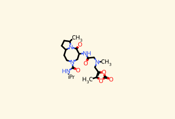 Cc1oc(=O)oc1CN(C)CC(=O)NC1CN(C(=O)NC(C)C)CCC2CCC(C)N2C1=O